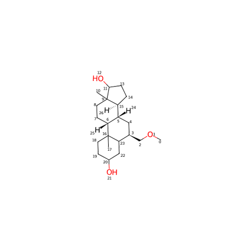 COC[C@@H]1C[C@@H]2[C@@H](CCC3(C)C(O)CC[C@@H]23)C2(C)CCC(O)CC12